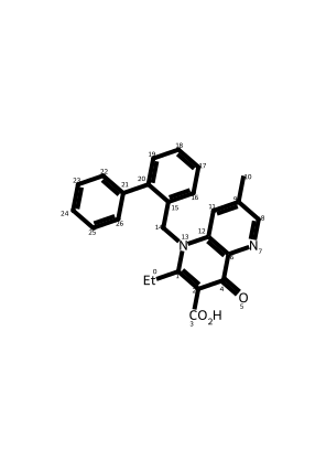 CCc1c(C(=O)O)c(=O)c2ncc(C)cc2n1Cc1ccccc1-c1ccccc1